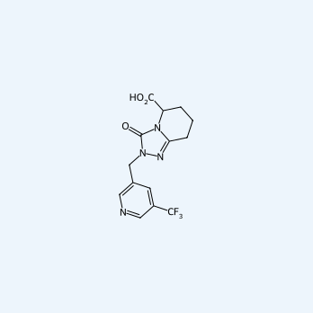 O=C(O)C1CCCc2nn(Cc3cncc(C(F)(F)F)c3)c(=O)n21